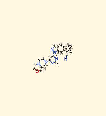 Cc1nc(N2CCN3CCOC[C@@H]3C2)cc(-n2ncc3ccc([C@]4(C#N)CC45CC5)cc32)n1